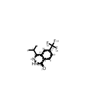 CC(C)c1n[nH]c(=O)c2ccc(C(F)(F)F)cc12